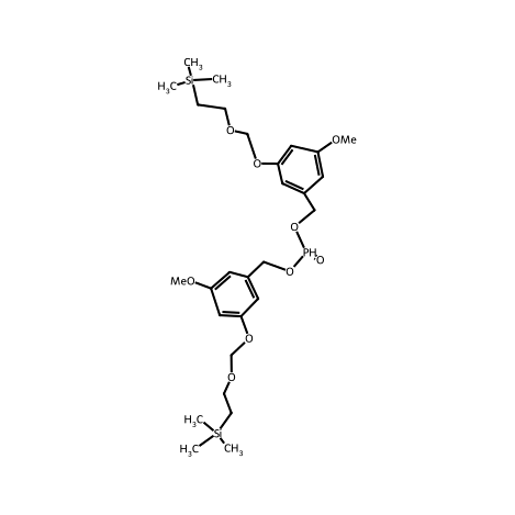 COc1cc(CO[PH](=O)OCc2cc(OC)cc(OCOCC[Si](C)(C)C)c2)cc(OCOCC[Si](C)(C)C)c1